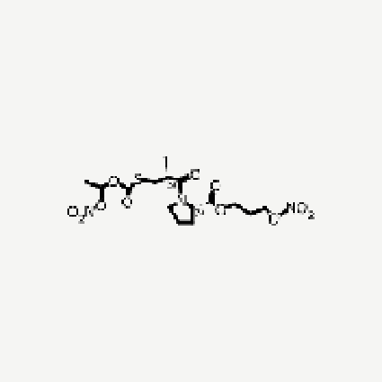 CC(OC(=O)SC[C@@H](C)C(=O)N1CCC[C@H]1C(=O)OCCCO[N+](=O)[O-])O[N+](=O)[O-]